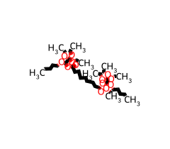 CCCCCOC(OC(=O)CCCCCCCC(=O)OC(OCC)(OCCCCC)C(OCC)(OCC)OCC)C(OCC)(OCC)OCC